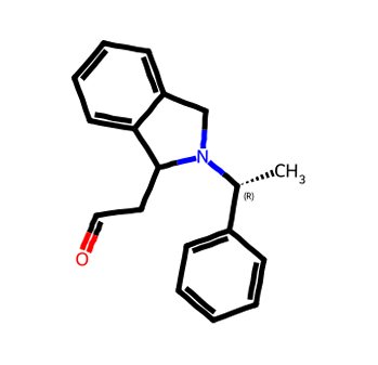 C[C@H](c1ccccc1)N1Cc2ccccc2C1CC=O